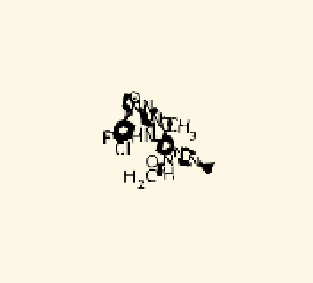 C=CC(=O)Nc1cc(Nc2cc(N3OCC[C@@H]3c3ccc(Cl)c(F)c3)ncn2)c(OC)cc1N1CCN(C2CC2)CC1